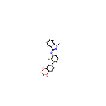 Cc1c(Nc2nn(C)c3ccccc23)cccc1-c1ccc2c(c1)OCCO2